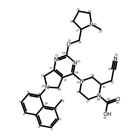 Cc1cccc2cccc(N3Cc4nc(OCC5CCCN5C)nc(N5CCN(C(=O)O)C(CC#N)C5)c4C3)c12